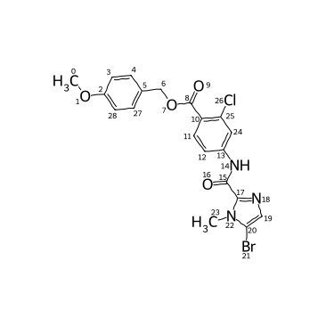 COc1ccc(COC(=O)c2ccc(NC(=O)c3ncc(Br)n3C)cc2Cl)cc1